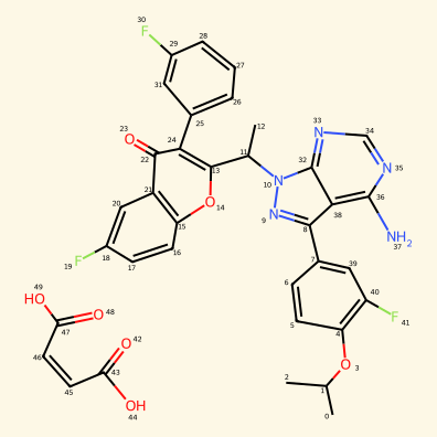 CC(C)Oc1ccc(-c2nn(C(C)c3oc4ccc(F)cc4c(=O)c3-c3cccc(F)c3)c3ncnc(N)c23)cc1F.O=C(O)/C=C\C(=O)O